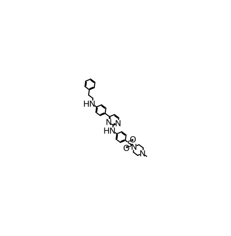 CN1CCN(S(=O)(=O)c2ccc(Nc3nccc(-c4ccc(NCCc5ccccc5)cc4)n3)cc2)CC1